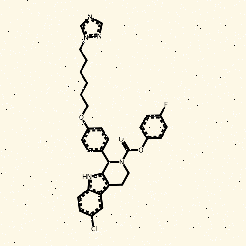 O=C(Oc1ccc(F)cc1)N1CCc2c([nH]c3ccc(Cl)cc23)C1c1ccc(OCCCCCCn2cncn2)cc1